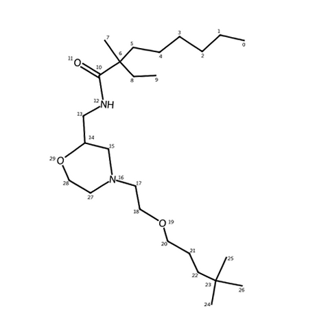 CCCCCCC(C)(CC)C(=O)NCC1CN(CCOCCCC(C)(C)C)CCO1